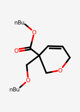 CCCCOCC1(C(=O)OCCCC)C=CCOC1